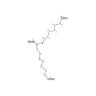 CCCCCCCCCCCCCCCCCC(CCCCCCCCCCCCCCCCC)NC